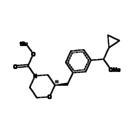 COC(c1cccc(C[C@@H]2CN(C(=O)OC(C)(C)C)CCO2)c1)C1CC1